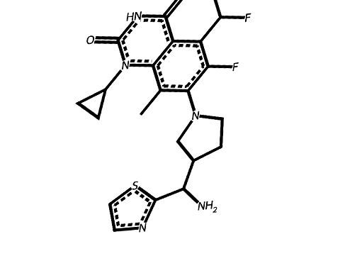 Cc1c(N2CCC(C(N)c3nccs3)C2)c(F)c(C(F)F)c2c(=O)[nH]c(=O)n(C3CC3)c12